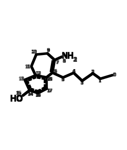 CCCCCCC1=C(N)CCCc2cc(O)ccc21